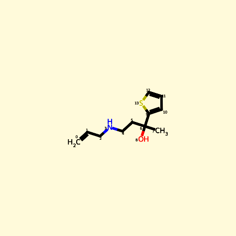 C=CCNCCC(C)(O)c1cccs1